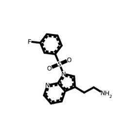 NCCc1cn(S(=O)(=O)c2cccc(F)c2)c2ncccc12